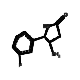 NC1CC(=O)NC1c1cccc(F)c1